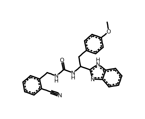 COc1ccc(CC(NC(=O)NCc2ccccc2C#N)c2nc3ccccc3[nH]2)cc1